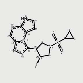 O=S(=O)(C1CC1)N1C[C@@H](I)[C@@H](c2nnc3cnc4[nH]ccc4n23)C1